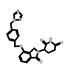 O=C1CCC(N2Cc3c(OCc4ccc(Cn5cncn5)cc4)cccc3C2=O)C(=O)N1